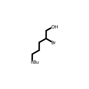 CCCCCCCC(Br)CO